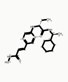 CC[C@@H](Nc1cnc(/C=C/C(=O)NO)cn1)C(=O)N[C@@H](C)C1CCCCC1